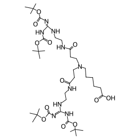 CC(C)(C)OC(=O)/N=C(/NCCNC(=O)CCN(CCCCCC(=O)O)CCC(=O)NCCN/C(=N\C(=O)OC(C)(C)C)NC(=O)OC(C)(C)C)NC(=O)OC(C)(C)C